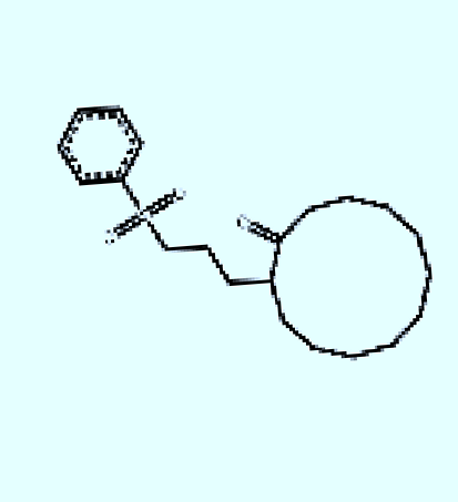 O=C1CCCCCCCCCCC1CCCS(=O)(=O)c1ccccc1